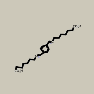 O=C(O)CCCCCC/N=C/c1ccc(/C=N/CCCCCCC(=O)O)cc1